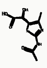 CC(=O)Nc1nc(C)c(C(O)C(=O)O)s1